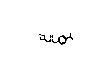 CC(C)c1ccc(CNCC2COC2)cc1